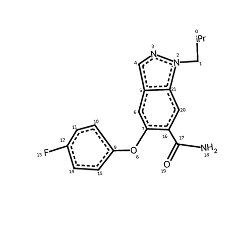 CC(C)Cn1ncc2cc(Oc3ccc(F)cc3)c(C(N)=O)cc21